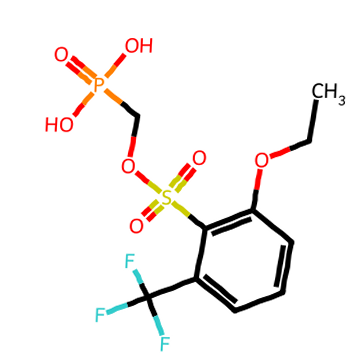 CCOc1cccc(C(F)(F)F)c1S(=O)(=O)OCP(=O)(O)O